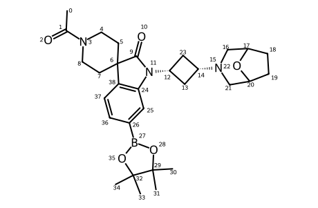 CC(=O)N1CCC2(CC1)C(=O)N([C@H]1C[C@@H](N3CC4CCC(C3)O4)C1)c1cc(B3OC(C)(C)C(C)(C)O3)ccc12